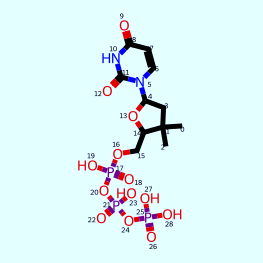 CC1(C)CC(n2ccc(=O)[nH]c2=O)OC1COP(=O)(O)OP(=O)(O)OP(=O)(O)O